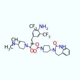 CN(C)C1CCN(C(=O)[C@@H](Cc2cc(C(F)(F)F)c(N)c(C(F)(F)F)c2)OC(=O)N2CCC(N3CCc4ccccc4NC3=O)CC2)CC1